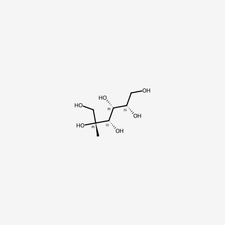 C[C@@](O)(CO)[C@@H](O)[C@H](O)[C@@H](O)CO